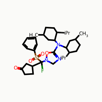 CC1CCC(C(C)C)C(N(C2=NCN(C(F)(C3CCC(=O)C3)S(=O)(=O)c3ccccc3)O2)C2CC(C)CCC2C(C)C)C1